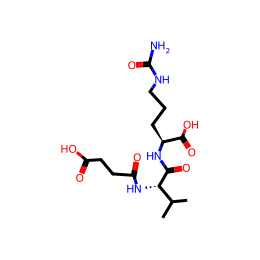 CC(C)[C@H](NC(=O)CCC(=O)O)C(=O)N[C@@H](CCCNC(N)=O)C(=O)O